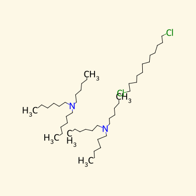 CCCCCCN(CCCCCC)CCCCCC.CCCCCCN(CCCCCC)CCCCCC.ClCCCCCCCCCCCCCl